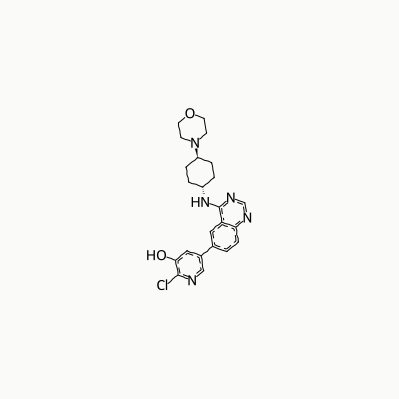 Oc1cc(-c2ccc3ncnc(N[C@H]4CC[C@H](N5CCOCC5)CC4)c3c2)cnc1Cl